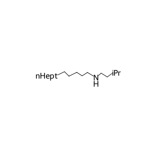 CCCCCCCCCCCCNCCC(C)C